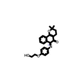 CC1(C)CCC2=C(O1)c1ccccc1/C(=N\c1ccc(OCCO)cc1)C2=O